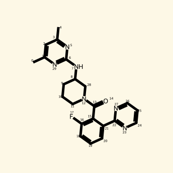 Cc1cc(C)nc(NC2CCCN(C(=O)c3c(F)cccc3-c3ncccn3)C2)n1